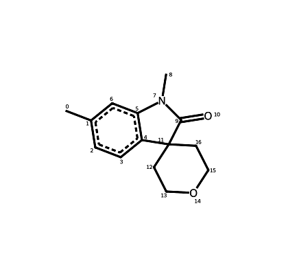 Cc1ccc2c(c1)N(C)C(=O)C21CCOCC1